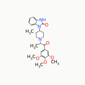 COc1cc(C(=O)C(C)N2CC[C@H](n3c(=O)[nH]c4ccccc43)[C@@H](C)C2)cc(OC)c1OC